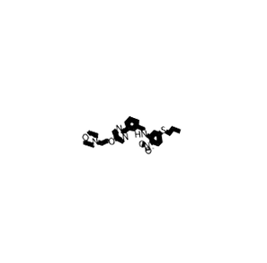 CCCSc1ccc([N+](=O)[O-])c(NCc2cccc(-c3ncc(OCCN4CCOCC4)cn3)c2)c1